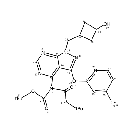 CC(C)(C)OC(=O)N(C(=O)OC(C)(C)C)c1ncnc2c1c(Oc1cc(C(F)(F)F)ccn1)nn2CC1CC(O)C1